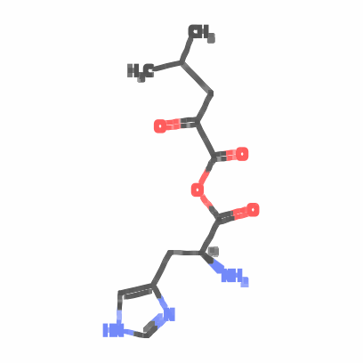 CC(C)CC(=O)C(=O)OC(=O)[C@@H](N)Cc1c[nH]cn1